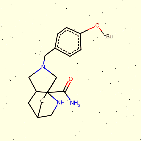 CC(C)(C)Oc1ccc(CN2CC3CC4CNC3(C(N)=O)C2C4)cc1